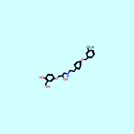 O=C(O)c1cccc(COc2ccc(CCNCC(O)COc3ccc(O)c(CO)c3)cc2)c1